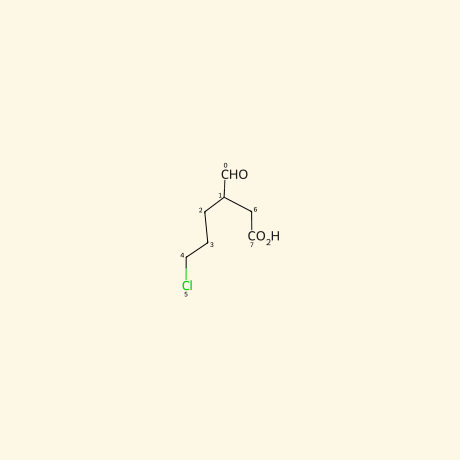 O=CC(CCCCl)CC(=O)O